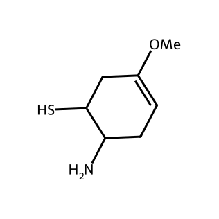 COC1=CCC(N)C(S)C1